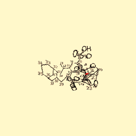 CC(C)c1cc(S(=O)(=O)O)cc(C(C)C)c1OC(=O)c1c2c3oc1c(OC(=O)CCC1CC4CCCC(C4)C1)c3OC2=O